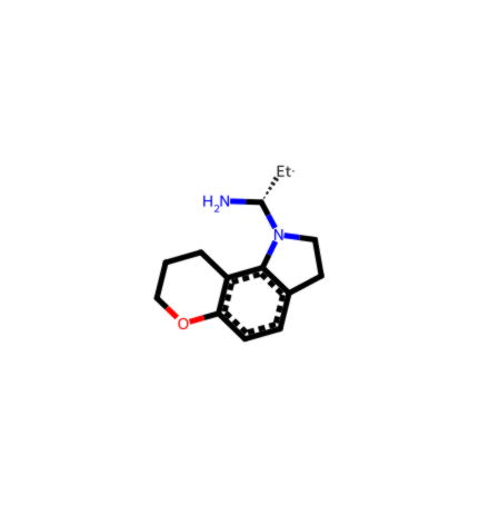 C[CH][C@@H](N)N1CCc2ccc3c(c21)CCCO3